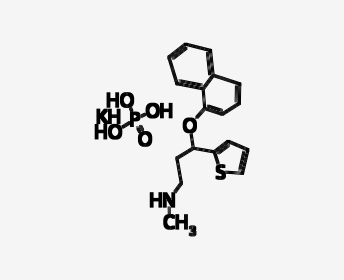 CNCCC(Oc1cccc2ccccc12)c1cccs1.O=P(O)(O)O.[KH]